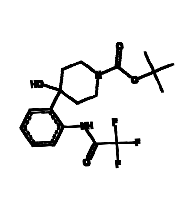 CC(C)(C)OC(=O)N1CCC(O)(c2ccccc2NC(=O)C(F)(F)F)CC1